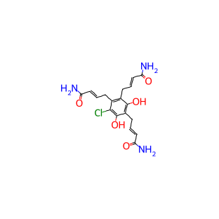 NC(=O)C=CCc1c(O)c(Cl)c(CC=CC(N)=O)c(CC=CC(N)=O)c1O